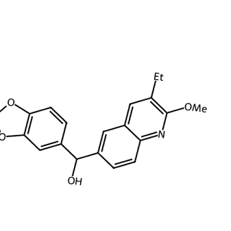 CCc1cc2cc(C(O)c3ccc4c(c3)OCO4)ccc2nc1OC